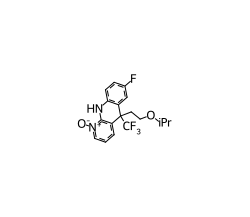 CC(C)OCCC1(C(F)(F)F)c2cc(F)ccc2Nc2c1ccc[n+]2[O-]